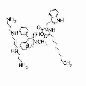 CCCCCCCCCC(=O)N[C@@H](Cc1c[nH]c2ccccc12)C(=O)O.CN(C)C(=O)C(c1ccccc1)c1ccccc1.NCCCNCCCCNCCCN